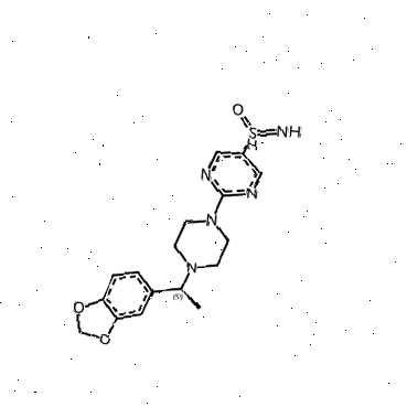 C[C@@H](c1ccc2c(c1)OCO2)N1CCN(c2ncc([SH](=N)=O)cn2)CC1